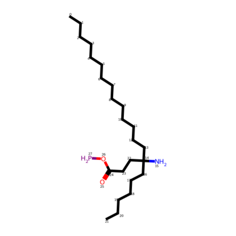 CCCCCCCCCCCCCCC(N)(CCCCCC)CCC(=O)OP